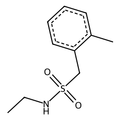 CCNS(=O)(=O)Cc1ccccc1C